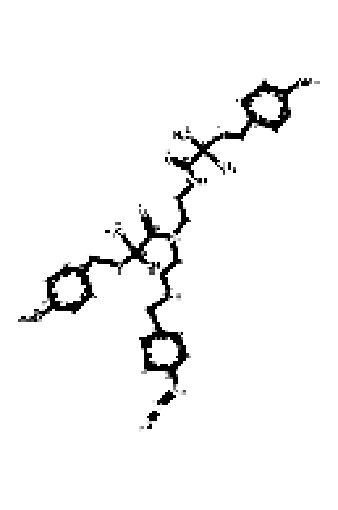 COc1ccc(CSC(C)(C)C(=O)NCCN(CCNCc2ccc(N=C=S)cc2)C(=O)C(C)(C)SCc2ccc(OC)cc2)cc1